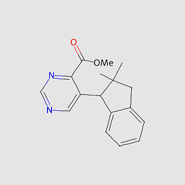 COC(=O)c1ncncc1C1c2ccccc2CC1(C)C